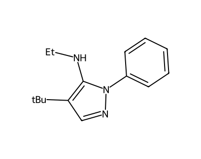 CCNc1c(C(C)(C)C)cnn1-c1ccccc1